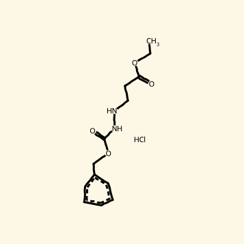 CCOC(=O)CCNNC(=O)OCc1ccccc1.Cl